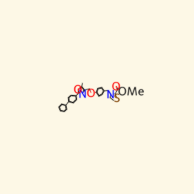 COC(=O)C1SCCN1Cc1ccc(OCc2nc(-c3ccc(-c4ccccc4)cc3)oc2C)cc1